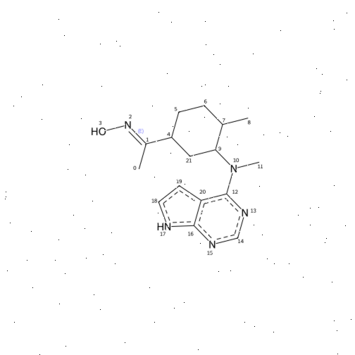 C/C(=N\O)C1CCC(C)C(N(C)c2ncnc3[nH]ccc23)C1